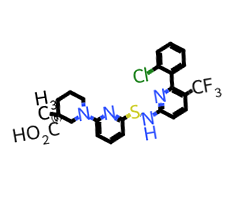 C[C@@]1(C(=O)O)CCCN(c2cccc(SNc3ccc(C(F)(F)F)c(-c4ccccc4Cl)n3)n2)C1